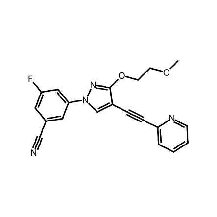 COCCOc1nn(-c2cc(F)cc(C#N)c2)cc1C#Cc1ccccn1